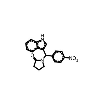 O=C1CCCN1C(c1ccc([N+](=O)[O-])cc1)c1c[nH]c2ccccc12